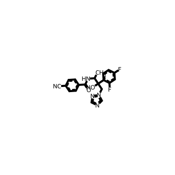 CC(NC(=O)c1ccc(C#N)cc1)C(O)(Cn1cncn1)c1ccc(F)cc1F